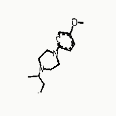 [CH2]CC(C)N1CCN(c2ccc(OC)cc2)CC1